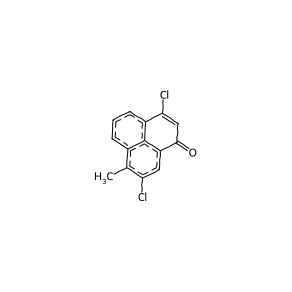 Cc1c(Cl)cc2c3c(cccc13)C(Cl)=CC2=O